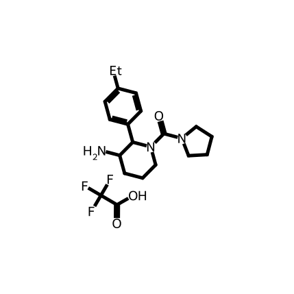 CCc1ccc(C2C(N)CCCN2C(=O)N2CCCC2)cc1.O=C(O)C(F)(F)F